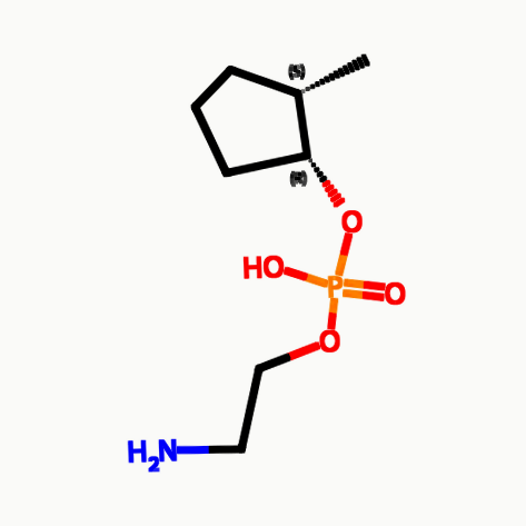 C[C@H]1CCC[C@H]1OP(=O)(O)OCCN